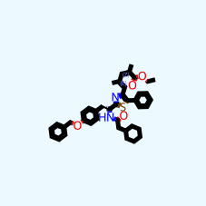 CCOC(=O)/C(C)=C\C(C)=C\c1nc([C@H](Cc2ccc(OCc3ccccc3)cc2)NC(=O)CC2CCCCC2)sc1-c1ccccc1